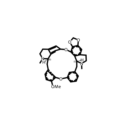 COc1ccc2cc1Oc1cccc(c1)C[C@H]1c3c(cc4c(c3OC3C=C5CCN(C)[C@H](C2)C5=C3)OCO4)CCN1C